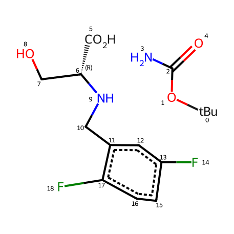 CC(C)(C)OC(N)=O.O=C(O)[C@@H](CO)NCc1cc(F)ccc1F